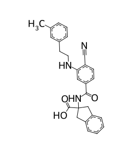 Cc1cccc(CCNc2cc(C(=O)NC3(C(=O)O)Cc4ccccc4C3)ccc2C#N)c1